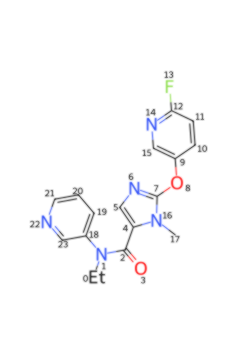 CCN(C(=O)c1cnc(Oc2ccc(F)nc2)n1C)c1cccnc1